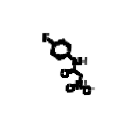 O=C(C[N+](=O)[O-])Nc1ccc(F)cc1